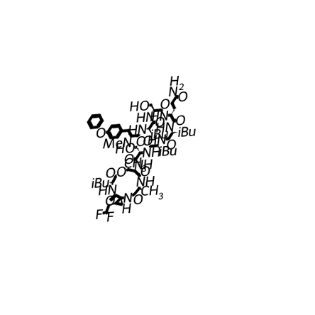 CC[C@H](C)[C@H](NC(=O)[C@@H](Cc1ccc(Oc2ccccc2)cc1)NC)C(=O)N[C@@H](CO)C(=O)N[C@H](CCC(N)=O)C(=O)N[C@@H](C(=O)N[C@H](C(=O)N[C@@H](CO)C(=O)N[C@H]1C(=O)N[C@@H](C)C(=O)N[C@@]2(C[C@H]2CC(F)F)C(=O)N[C@@H]([C@@H](C)CC)C(=O)O[C@H]1C)[C@@H](C)CC)[C@@H](C)CC